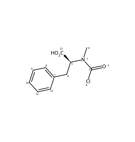 CN(C(=O)Cl)[C@@H](Cc1ccccc1)C(=O)O